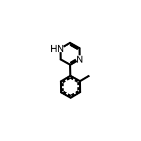 Cc1ccccc1C1=NC=CNC1